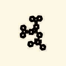 c1ccc(-c2cc(-c3ccccc3)nc(-c3cccc(-n4c5ccc(-n6c7ccccc7c7ccccc76)cc5c5cc(-n6c7ccccc7c7ccccc76)ccc54)c3)n2)cc1